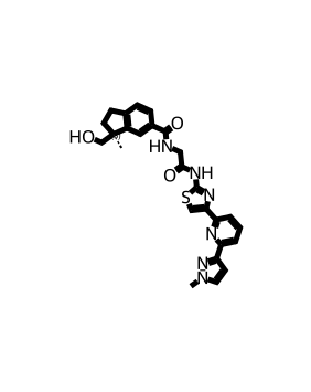 Cn1ccc(-c2cccc(-c3csc(NC(=O)CNC(=O)c4ccc5c(c4)[C@@](C)(CO)CC5)n3)n2)n1